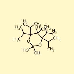 CC(C)C1(C(C)C)O[B-](O)(O)OC(C(C)C)(C(C)C)C1(C)C